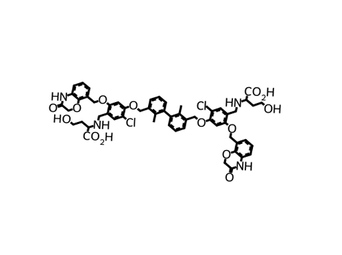 Cc1c(COc2cc(OCc3cccc4c3OCC(=O)N4)c(CNC(CCO)C(=O)O)cc2Cl)cccc1-c1cccc(COc2cc(OCc3cccc4c3OCC(=O)N4)c(CNC(CCO)C(=O)O)cc2Cl)c1C